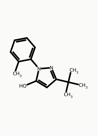 Cc1ccccc1-n1nc(C(C)(C)C)cc1O